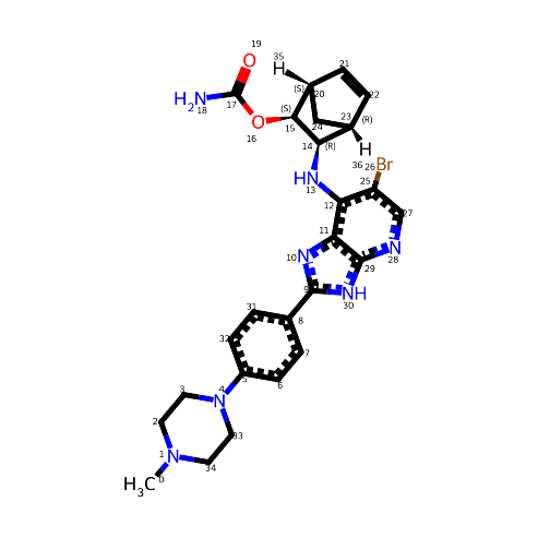 CN1CCN(c2ccc(-c3nc4c(N[C@H]5[C@@H](OC(N)=O)[C@@H]6C=C[C@H]5C6)c(Br)cnc4[nH]3)cc2)CC1